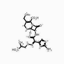 CC(=O)OCC1=C(C(=O)O)N2C(=O)[C@@H](NC(=O)/C(=N\OCC(C)C(=O)O)c3csc(N)n3)[C@H]2SC1